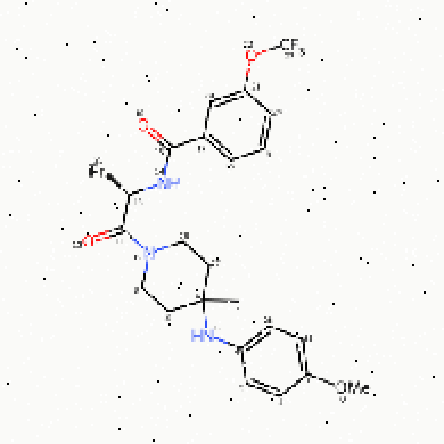 COc1ccc(NC2(C)CCN(C(=O)[C@H](NC(=O)c3cccc(OC(F)(F)F)c3)C(C)C)CC2)cc1